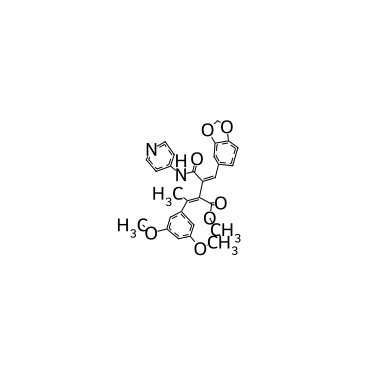 COC(=O)C(C(=Cc1ccc2c(c1)OCO2)C(=O)Nc1ccncc1)=C(C)c1cc(OC)cc(OC)c1